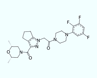 C[C@@H]1CN(C(=O)c2nn(CC(=O)N3CCN(c4cc(F)cc(F)c4F)CC3)c3c2CCC3)C[C@H](C)O1